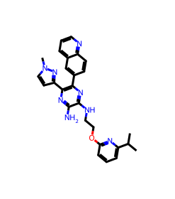 CC(C)c1cccc(OCCNc2nc(-c3ccc4ncccc4c3)c(-c3ccn(C)n3)nc2N)n1